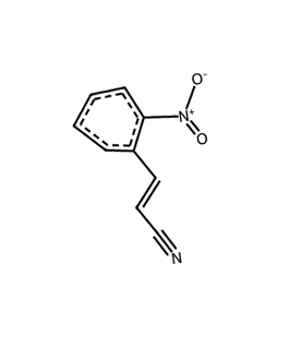 N#C/C=C/c1ccccc1[N+](=O)[O-]